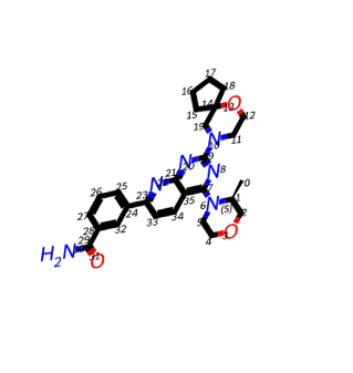 C[C@H]1COCCN1c1nc(N2CCOC3(CCCC3)C2)nc2nc(-c3cccc(C(N)=O)c3)ccc12